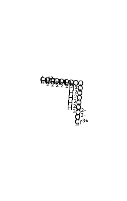 O.O.O.O.O.O.O.O.O.O.O.O.[Cr+3].[Cr+3].[O-2].[O-2].[O-2]